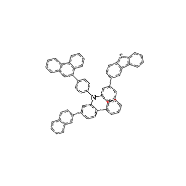 c1ccc(-c2ccc(-c3ccc4ccccc4c3)cc2N(c2ccc(-c3cc4ccccc4c4ccccc34)cc2)c2cccc(-c3ccc4sc5ccccc5c4c3)c2)cc1